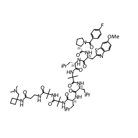 COc1ccc2nc(C[C@H](NC(=O)[C@@H]3CCCN3C(=O)c3ccc(F)cc3)C(=O)N[C@@H](CC(C)C)C(=O)NC(C)(C)C(=O)N[C@@H](CC(C)C)C(=O)N[C@@H](CC(C)C)C(=O)NC(C)(C)C(=O)NC(C)(C)C(=O)NCCC(=O)NC3(CN(C)C)CCC3)sc2c1